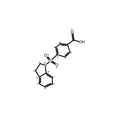 O=C(O)c1ccc(S(=O)(=O)N2CCc3ccccc32)cc1